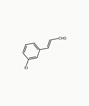 CCc1cccc(/C=C/C=O)c1